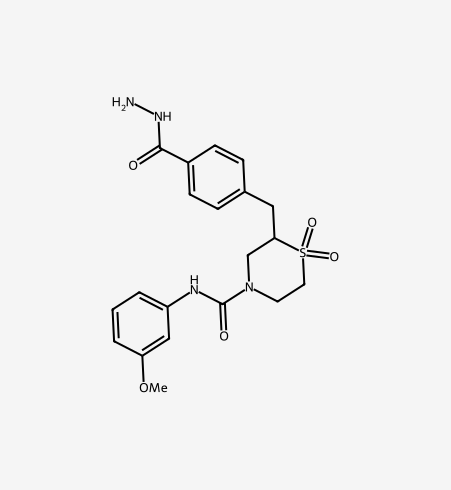 COc1cccc(NC(=O)N2CCS(=O)(=O)C(Cc3ccc(C(=O)NN)cc3)C2)c1